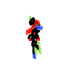 C[C@]12O[C@@]3(CCO[C@H]4[C@@H]3[C@@H]1C(=O)N4c1ccc(C#N)c(C(F)(F)F)c1)[C@@H](O)[C@@H]2NS(=O)(=O)c1ccc(F)cc1